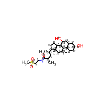 C[C@H](C[C@H](C)C(=O)NCCS(C)(=O)=O)[C@H]1CCC2C3C(CC[C@@]21C)[C@@]1(C)CC[C@@H](O)CC1C[C@@H]3O